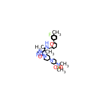 C=C(NC[C@@H]1CCC[C@H](c2ccc(C)c(F)c2)O1)/C(C)=C(\N=C/N)C(=O)N1CCC(N2CCC(N(C)S(C)(=O)=O)CC2)CC1